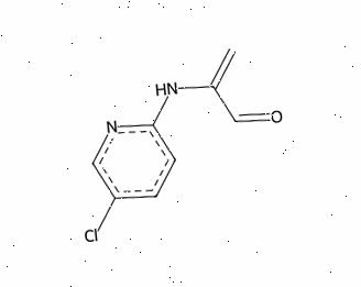 C=C(C=O)Nc1ccc(Cl)cn1